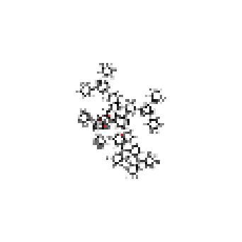 c1ccc(-c2cc(-c3ccc(-c4ccc5c6c4N(c4ccccc4)c4ccccc4B6c4ccccc4N5c4ccccc4)cc3)nc(-c3cc(-c4nc(-c5ccccc5)nc(-c5ccccc5)n4)ccc3-n3c4ccc(-c5nc(-c6ccccc6)nc(-c6ccccc6)n5)cc4c4cc(-c5nc(-c6ccccc6)nc(-c6ccccc6)n5)ccc43)n2)cc1